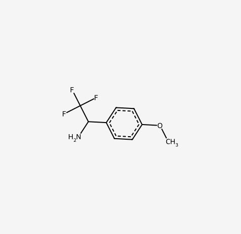 COc1ccc(C(N)C(F)(F)F)cc1